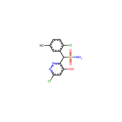 N#Cc1ccc(Cl)c(C(c2nnc(Cl)cc2O)S(N)(=O)=O)c1